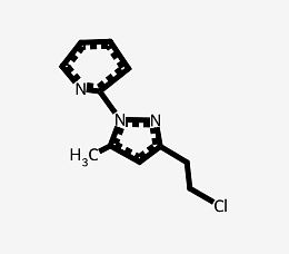 Cc1cc(CCCl)nn1-c1ccccn1